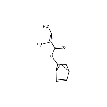 C/C=C(\C)C(=O)OC1CC2C=CC1C2